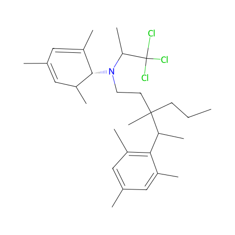 CCCC(C)(CCN(C(C)C(Cl)(Cl)Cl)[C@H]1C(C)=CC(C)=CC1C)C(C)c1c(C)cc(C)cc1C